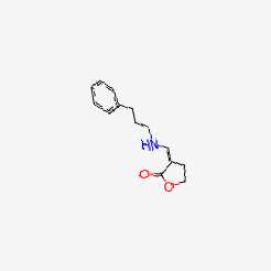 O=C1OCCC1=CNCCCc1ccccc1